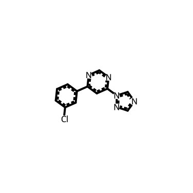 Clc1cccc(-c2cc(-n3cncn3)ncn2)c1